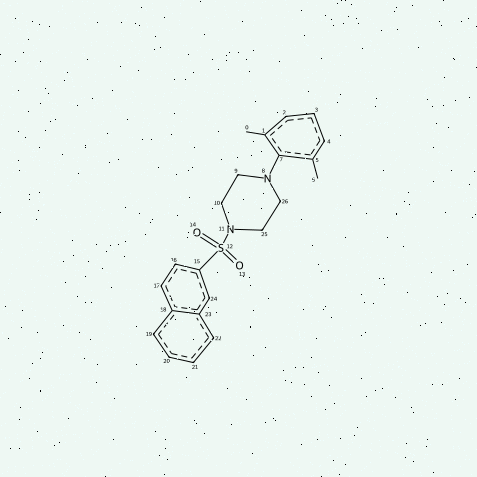 Cc1cccc(C)c1N1CCN(S(=O)(=O)c2ccc3ccccc3c2)CC1